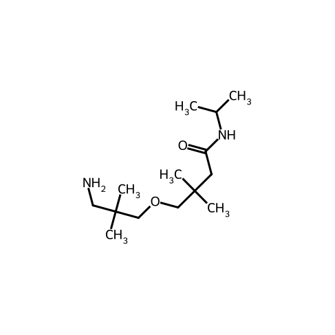 CC(C)NC(=O)CC(C)(C)COCC(C)(C)CN